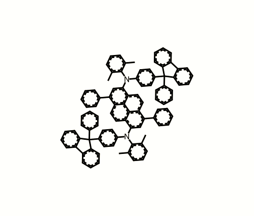 Cc1cccc(C)c1N(c1ccc(C2(c3ccccc3)c3ccccc3-c3ccccc32)cc1)c1cc(-c2ccccc2)c2ccc3c(N(c4ccc(C5(c6ccccc6)c6ccccc6-c6ccccc65)cc4)c4c(C)cccc4C)cc(-c4ccccc4)c4ccc1c2c43